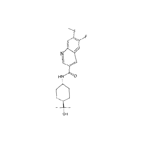 CSc1cc2ncc(C(=O)N[C@H]3CC[C@H](C(C)(C)O)CC3)cc2cc1F